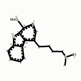 CCN(C)CCCCc1cnc(OC)c2oc3ccccc3c12